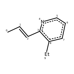 CC=Cc1ncccc1CC